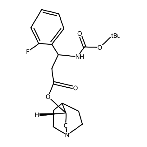 CC(C)(C)OC(=O)NC(CC(=O)O[C@H]1CN2CCC1CC2)c1ccccc1F